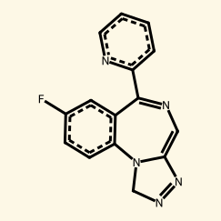 Fc1ccc2c(c1)C(c1ccccn1)=NC=C1N=NCN12